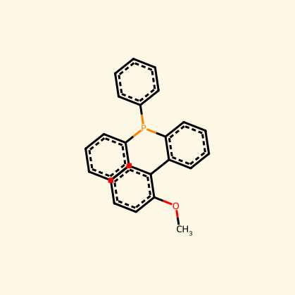 COc1ccccc1-c1ccccc1P(c1ccccc1)c1ccccc1